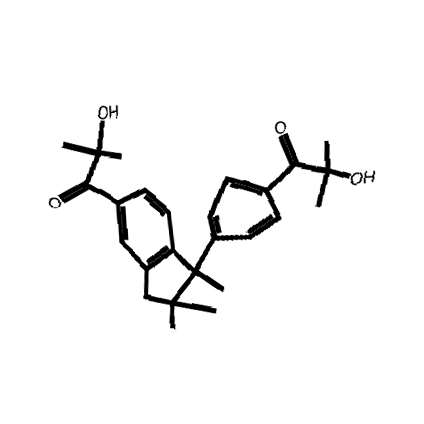 CC(C)(O)C(=O)c1ccc(C2(C)c3ccc(C(=O)C(C)(C)O)cc3CC2(C)C)cc1